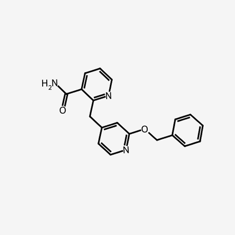 NC(=O)c1cccnc1Cc1ccnc(OCc2ccccc2)c1